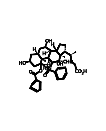 C[C@H](CCC(=O)O)[C@H]1CC[C@H]2[C@@H]3[C@H](O)C[C@@H]4C[C@H](O)CC(OC(=O)c5ccccc5)(OC(=O)c5ccccc5)[C@]4(C)[C@H]3C(N)[C@@](O)(C=O)[C@]12C